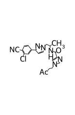 CC(=O)CCn1cnc(C(=O)NC(C)Cn2ccc(-c3ccc(C#N)c(Cl)c3)n2)c1